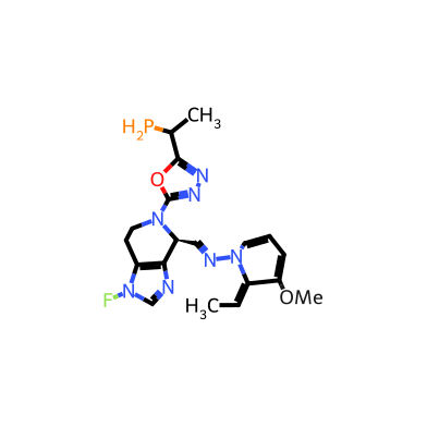 C/C=C1/C(OC)=CC=CN1/N=C/[C@H]1c2ncn(F)c2CCN1c1nnc(C(C)P)o1